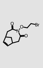 O=C1CC2C=CC(CC(=O)N1OCCBr)C2